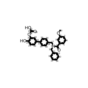 COc1cccc(C(=O)N(Cc2ccccc2)Cc2ccc(-c3ccc(O)c(OC(=O)O)c3)cc2)c1